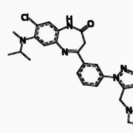 CC(C)N(C)c1cc2c(cc1Cl)NC(=O)CC(c1cccc(-n3nncc3CN3CCC3)c1)=N2